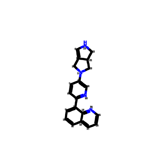 C1=C2CN(c3ccc(-c4cccc5cccnc45)nc3)CC2CN1